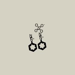 N#[N+]c1ccccc1.N#[N+]c1ccccc1.O=S(=O)([O-])[O-]